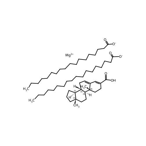 CCCCCCCCCCCCCCCCCC(=O)[O-].CCCCCCCCCCCCCCCCCC(=O)[O-].C[C@@]12CCC[C@H]1[C@@H]1CC=C3C=C(C(=O)O)CC[C@]3(C)[C@H]1CC2.[Mg+2]